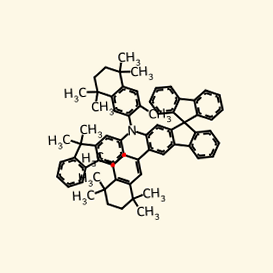 Cc1cc2c(cc1N(c1ccc3c(c1)C(C)(C)c1ccccc1-3)c1cc3c(cc1C1=CC4=C(C(C)C1)C(C)(C)CCC4(C)C)-c1ccccc1C31c3ccccc3-c3ccccc31)C(C)(C)CCC2(C)C